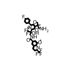 COc1cc(C(=O)NC[C@](O)(c2cc3c(c(-c4ccc(F)cc4)n2)OC[C@]3(C)C(N)=O)C(F)(F)F)cc2ccc(C(F)(F)F)nc12